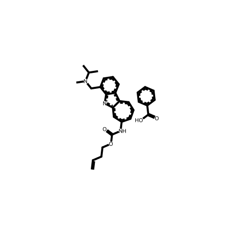 C=CCCOC(=O)Nc1cccc2c3cccc(CN(C)C(C)C)c3nc-2c1.O=C(O)c1ccccc1